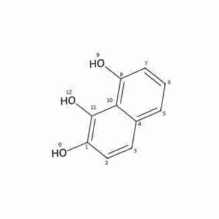 Oc1ccc2cccc(O)c2c1O